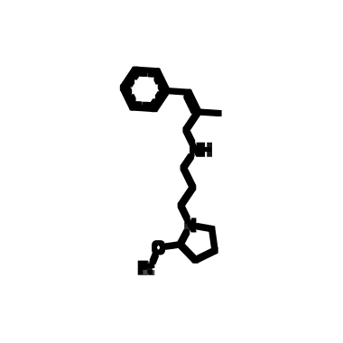 CCOC1CCCN1CCCNCC(C)=Cc1ccccc1